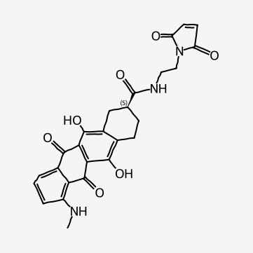 CNc1cccc2c1C(=O)c1c(O)c3c(c(O)c1C2=O)C[C@@H](C(=O)NCCN1C(=O)C=CC1=O)CC3